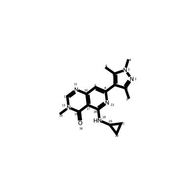 Cc1nn(C)c(C)c1-c1cc2ncn(C)c(=O)c2c(NC2CC2)n1